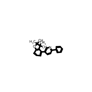 CC1(C)Oc2cccc(-c3ccc(-c4ccccc4)nc3)c2C1(C)C